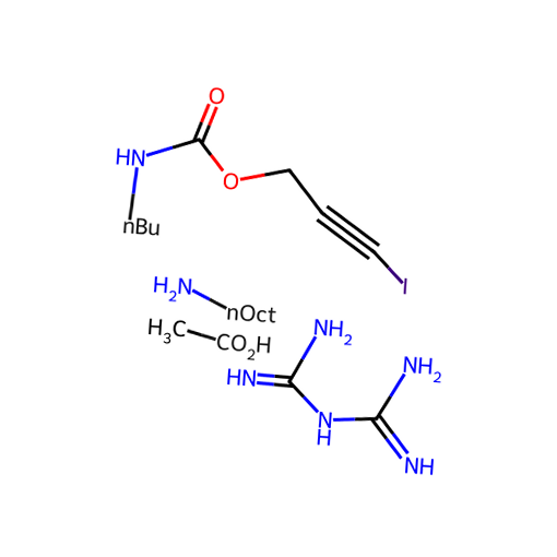 CC(=O)O.CCCCCCCCN.CCCCNC(=O)OCC#CI.N=C(N)NC(=N)N